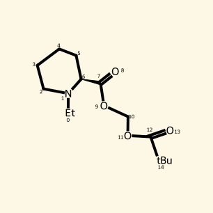 CCN1CCCC[C@H]1C(=O)OCOC(=O)C(C)(C)C